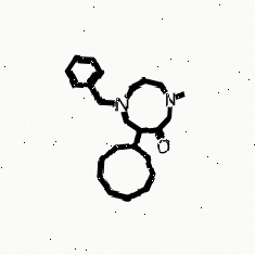 CN1CCCN(Cc2ccccc2)CC(C2CCCCCCCC2)C(=O)C1